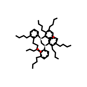 CCCCc1cccc(P(CP(c2cccc(CCCC)c2CCCC)c2cccc(CCCC)c2CCCC)c2cccc(CCCC)c2CCCC)c1CCCC